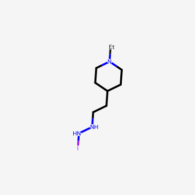 CCN1CCC(CCNNI)CC1